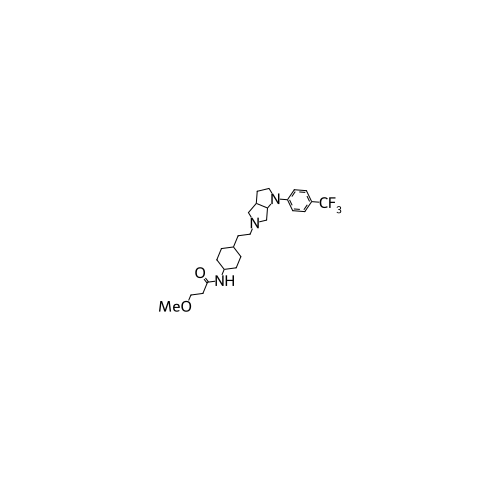 COCCC(=O)NC1CCC(CCN2CC3CCN(c4ccc(C(F)(F)F)cc4)C3C2)CC1